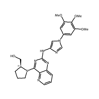 COc1cc(-n2cnc(Nc3nc(N4CCC[C@H]4CO)c4ncccc4n3)c2)cc(OC)c1OC